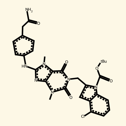 Cn1c(Nc2ccc(CC(N)=O)cc2)nc2c1c(=O)n(Cc1cc3c(Cl)cccc3n1C(=O)OC(C)(C)C)c(=O)n2C